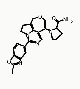 Cc1nc2cc(C3=NC=C4C(N5CCCC5C(N)=O)=COCC5=C4N3CC5)ccc2o1